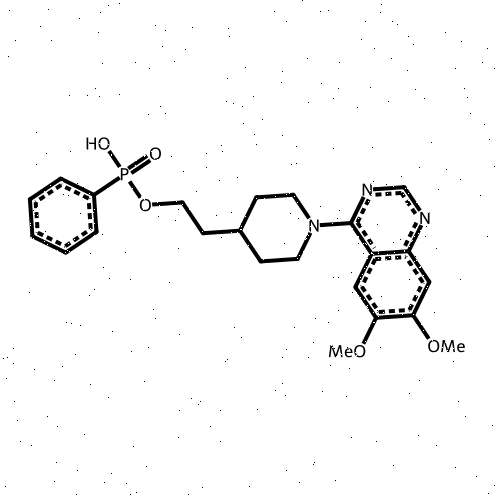 COc1cc2ncnc(N3CCC(CCOP(=O)(O)c4ccccc4)CC3)c2cc1OC